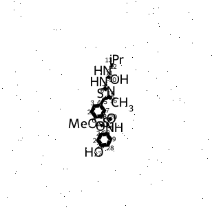 COc1ccc(-c2sc(NC(O)NCC(C)C)nc2C)cc1S(=O)(=O)Nc1ccc(O)cc1